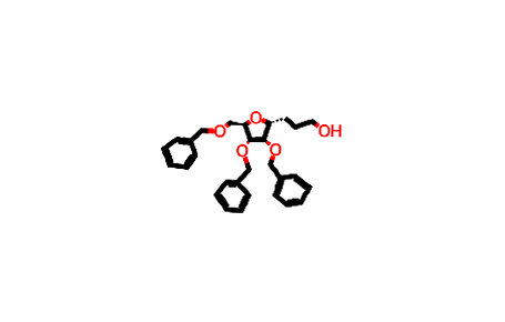 OCCC[C@H]1O[C@H](COCc2ccccc2)[C@@H](OCc2ccccc2)[C@@H]1OCc1ccccc1